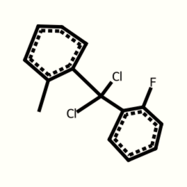 Cc1ccccc1C(Cl)(Cl)c1ccccc1F